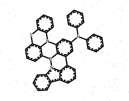 c1ccc(N(c2ccccc2)c2cc3c4c(c2)N2c5ccccc5Sc5cccc(c52)B4n2c4ccccc4c4cccc-3c42)cc1